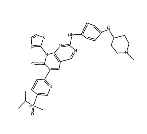 CC(C)[SH](C)(=O)c1ccc(-c2cc3cnc(Nc4ccc(NC5CCN(C)CC5)cc4)nc3n(-c3nccs3)c2=O)nc1